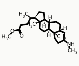 CNC1CC[C@@]2(C)[C@H](CC[C@@H]3[C@@H]2CC[C@]2(C)[C@@H]([C@H](C)CCC(=O)OC)CC[C@@H]32)C1